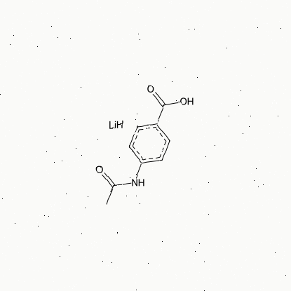 CC(=O)Nc1ccc(C(=O)O)cc1.[LiH]